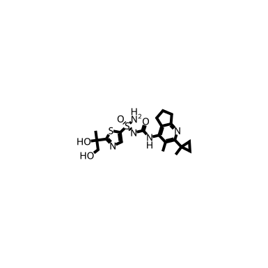 Cc1c(C2(C)CC2)nc2c(c1NC(=O)N=S(N)(=O)c1cnc(C(C)(O)CO)s1)CCC2